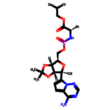 CCC(CC)COC(=O)[C@H](CC)N[PH](=O)OC[C@H]1O[C@@](C#N)(c2ccc3c(N)ncnn23)[C@@H]2OC(C)(C)O[C@@H]21